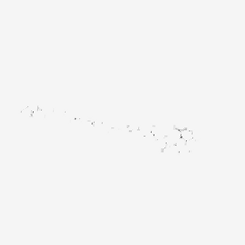 C=CC(=O)NCCOCCOCCOCCOCCOCCN(C)[C@@H]1CCN(C2CCc3cccc(F)c32)C1